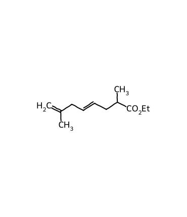 C=C(C)CC=CCC(C)C(=O)OCC